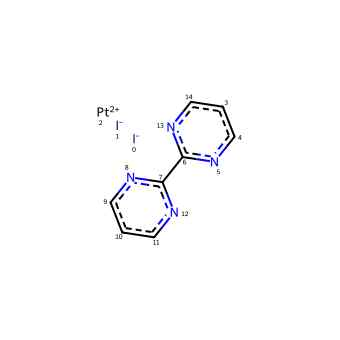 [I-].[I-].[Pt+2].c1cnc(-c2ncccn2)nc1